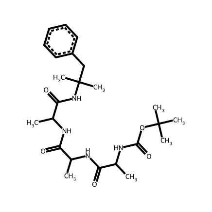 CC(NC(=O)OC(C)(C)C)C(=O)NC(C)C(=O)NC(C)C(=O)NC(C)(C)Cc1ccccc1